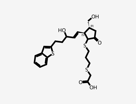 O=C(O)CSCCCSC1C(=O)C[C@@H](CO)[C@@H]1C=CC(O)CCc1cc2ccccc2s1